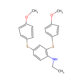 CCNc1ccc(Sc2ccc(OC)cc2)cc1Sc1ccc(OC)cc1